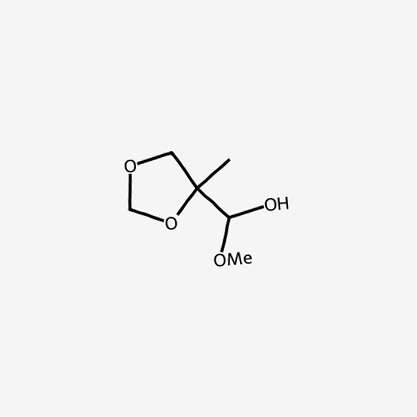 COC(O)C1(C)COCO1